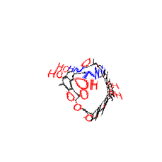 CO[C@H]1/C=C/O[C@@]2(C)Oc3c(C)c(O)c4c(O)c(c(/C=N/N5CCN(C)CC5)c(O)c4c3C2=O)NC(=O)/C(C)=C/C=C/[C@H](C)[C@H](O)[C@@H](C)[C@H](O)[C@H](C)[C@H](C)[C@@H]1C